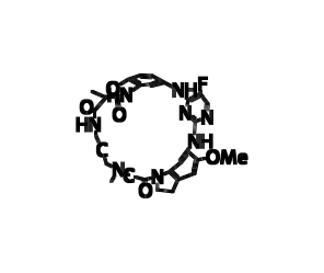 COc1cc2c3cc1Nc1ncc(F)c(n1)Nc1ccc4c(c1)NC(=O)C(C)(O4)C(=O)NCCCN(C)CC(=O)N3CC2